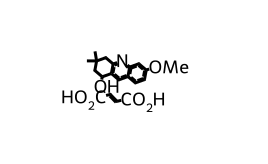 COc1ccc2cc3c(nc2c1)CC(C)(C)CC3O.O=C(O)C=CC(=O)O